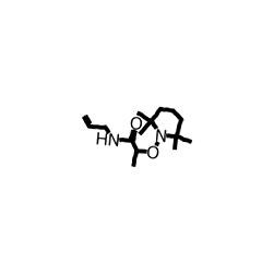 C=CCNC(=O)C(C)ON1C(C)(C)CCCC1(C)C